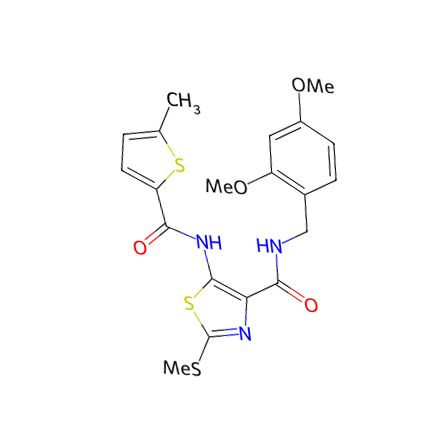 COc1ccc(CNC(=O)c2nc(SC)sc2NC(=O)c2ccc(C)s2)c(OC)c1